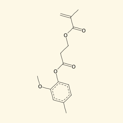 C=C(C)C(=O)OCCC(=O)Oc1ccc(C)cc1OC